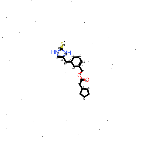 O=C(CC1CCCC1)OCC1=CCCC(Cc2c[nH]c(=S)[nH]2)C1